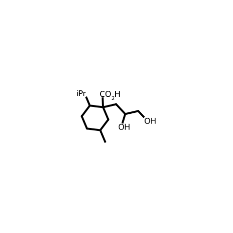 CC1CCC(C(C)C)C(CC(O)CO)(C(=O)O)C1